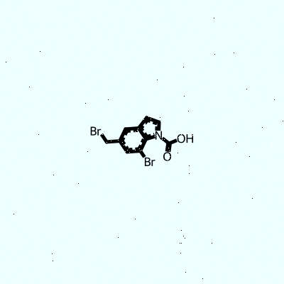 O=C(O)n1ccc2cc(CBr)cc(Br)c21